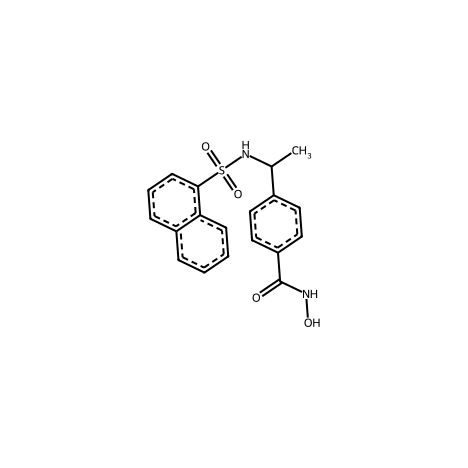 CC(NS(=O)(=O)c1cccc2ccccc12)c1ccc(C(=O)NO)cc1